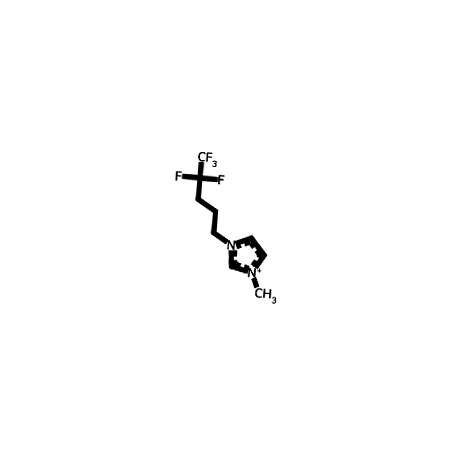 C[n+]1ccn(CCCC(F)(F)C(F)(F)F)c1